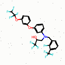 OC(CN(Cc1cccc(C(F)(F)F)c1F)c1cccc(Oc2cccc(OC(F)(F)C(F)F)c2)c1)C(F)(F)F